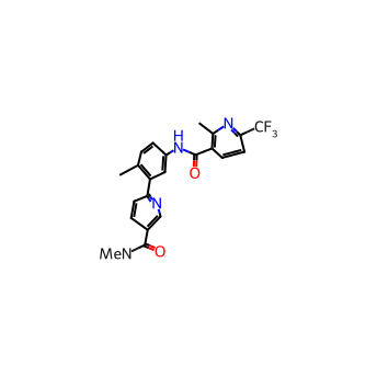 CNC(=O)c1ccc(-c2cc(NC(=O)c3ccc(C(F)(F)F)nc3C)ccc2C)nc1